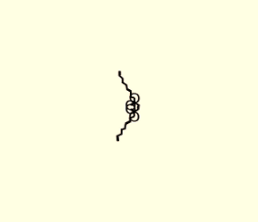 C=CCCCC=CCOC(=O)/C=C\C(=O)OCC=CCCCC=C